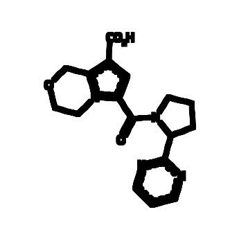 O=C(O)c1cc(C(=O)N2CCCC2c2ncccn2)n2c1COCC2